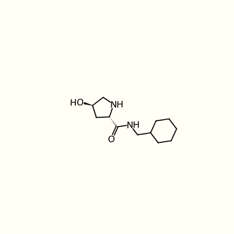 O=C(NCC1CCCCC1)[C@@H]1C[C@@H](O)CN1